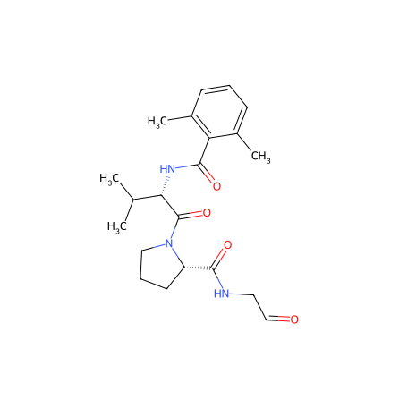 Cc1cccc(C)c1C(=O)N[C@H](C(=O)N1CCC[C@H]1C(=O)NCC=O)C(C)C